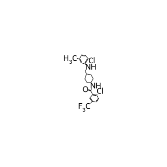 Cc1ccc(Cl)c(NCC2CCC(NC(=O)c3cc(C(F)(F)F)ccc3Cl)CC2)c1